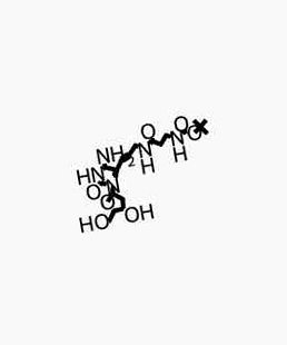 CC(C)(C)OC(=O)NCCC(=O)NCC#CC1=CN(C2CC(O)C(CO)O2)C(=O)NC1N